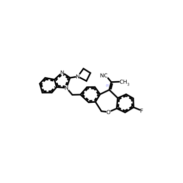 C/C(C#N)=C1/c2ccc(Cn3c(N4CCC4)nc4ccccc43)cc2COc2cc(F)ccc21